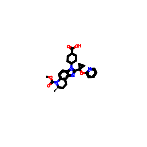 COC(=O)N1c2ccc3c(nc(C4(Oc5ccccn5)CC4)n3C3CCC(C(=O)O)CC3)c2CC[C@@H]1C